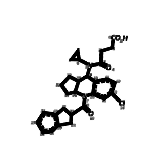 O=C(O)CCC(=O)N(C1CC1)C1c2ccc(Cl)cc2N(C(=O)C2Cc3ccccc3C2)C2CCCC21